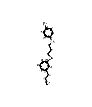 Fc1ccc(OCCCOc2cccc(CCBr)c2)cc1